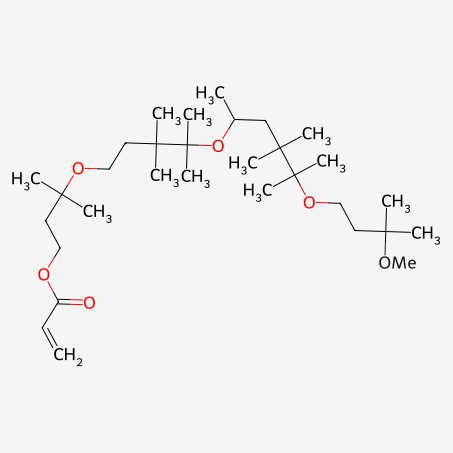 C=CC(=O)OCCC(C)(C)OCCC(C)(C)C(C)(C)OC(C)CC(C)(C)C(C)(C)OCCC(C)(C)OC